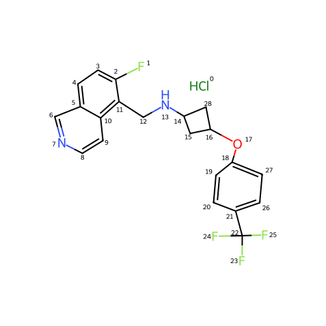 Cl.Fc1ccc2cnccc2c1CNC1CC(Oc2ccc(C(F)(F)F)cc2)C1